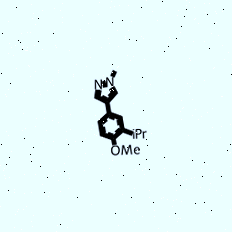 COc1ccc(-c2cnn(C)c2)cc1C(C)C